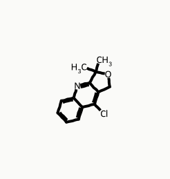 CC1(C)OCc2c1nc1ccccc1c2Cl